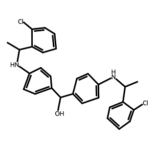 CC(Nc1ccc(C(O)c2ccc(NC(C)c3ccccc3Cl)cc2)cc1)c1ccccc1Cl